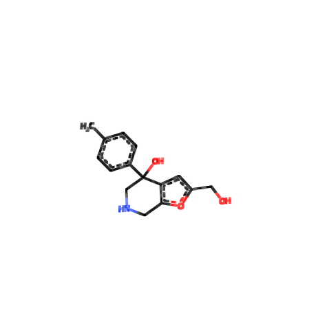 Cc1ccc(C2(O)CNCc3oc(CO)cc32)cc1